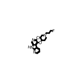 N#Cc1ncc2[nH]c3ncccc3c2c1OC1CCN(CCCF)CC1